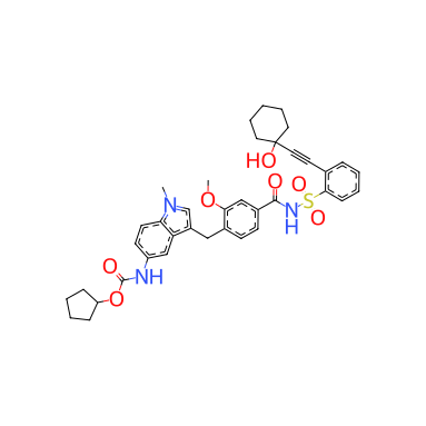 COc1cc(C(=O)NS(=O)(=O)c2ccccc2C#CC2(O)CCCCC2)ccc1Cc1cn(C)c2ccc(NC(=O)OC3CCCC3)cc12